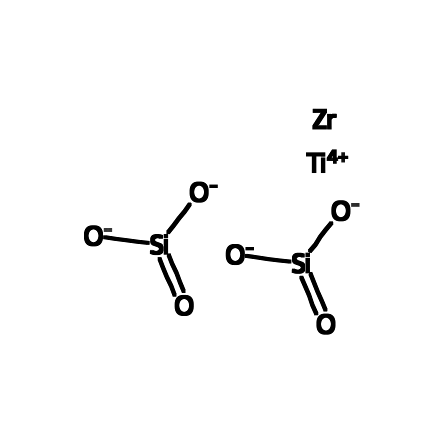 O=[Si]([O-])[O-].O=[Si]([O-])[O-].[Ti+4].[Zr]